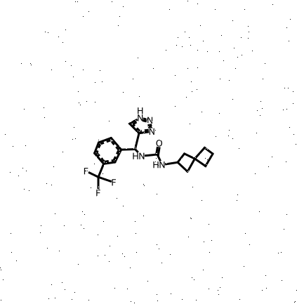 O=C(NC1CC2(CCC2)C1)NC(c1cccc(C(F)(F)F)c1)c1c[nH]nn1